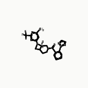 Cc1cc(N2CC3CCN(C(=O)c4ccccc4-n4nccn4)C[C@@H]32)nc(C(F)(F)F)n1